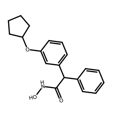 O=C(NO)C(c1ccccc1)c1cccc(OC2CCCC2)c1